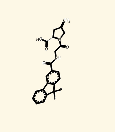 C=C1C[C@@H](C(=O)O)N(C(=O)CNC(=O)c2ccc3c(c2)-c2ccccc2C3(F)F)C1